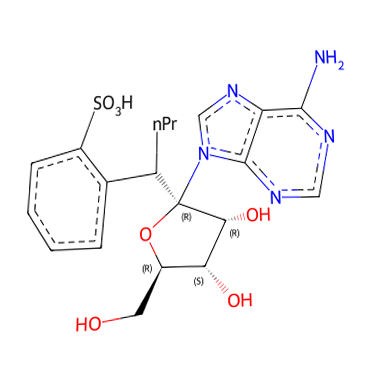 CCCC(c1ccccc1S(=O)(=O)O)[C@@]1(n2cnc3c(N)ncnc32)O[C@H](CO)[C@@H](O)[C@H]1O